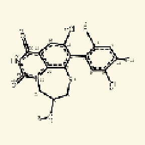 COC1CSc2c(-c3cc(Cl)c(F)cc3F)c(Cl)cc3c(=O)[nH]c(=O)n(c23)C1